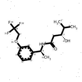 CC(C)[C@H](O)CC(=O)N[C@@H](C)c1cccc(OCC(F)(F)F)c1